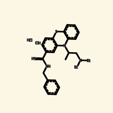 CCN(CC)CC(C)N1c2ccccc2Sc2ccc(C(=N)NCc3ccccc3)cc21.Cl.Cl